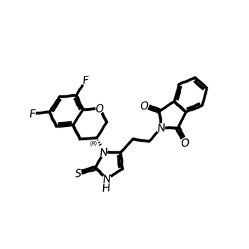 O=C1c2ccccc2C(=O)N1CCc1c[nH]c(=S)n1[C@H]1COc2c(F)cc(F)cc2C1